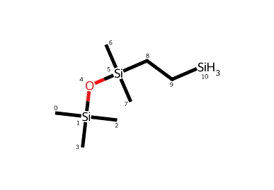 C[Si](C)(C)O[Si](C)(C)CC[SiH3]